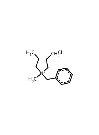 CCC[N+](C)(CCC)Cc1ccccc1.[Cl-]